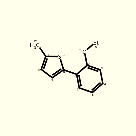 CCOc1ccccc1-c1ccc(C)s1